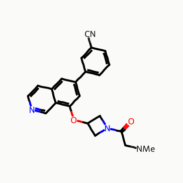 CNCC(=O)N1CC(Oc2cc(-c3cccc(C#N)c3)cc3ccncc23)C1